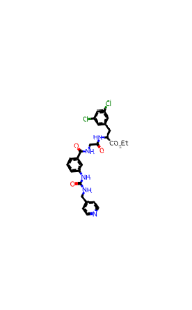 CCOC(=O)C(Cc1cc(Cl)cc(Cl)c1)NC(=O)CNC(=O)c1cccc(NC(=O)NCc2ccncc2)c1